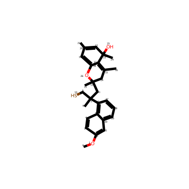 COc1ccc2c(C(C)(CS)CC3(C)CC(C)=C4C(=CC(C)=CC4(C)O)O3)cccc2c1